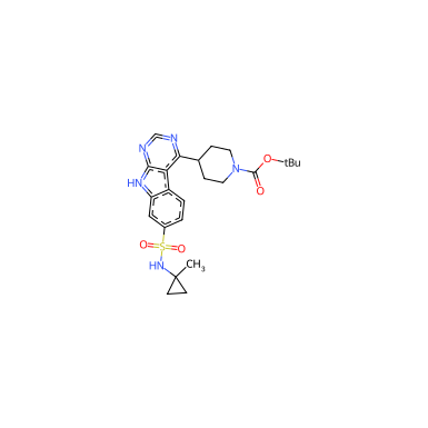 CC1(NS(=O)(=O)c2ccc3c(c2)[nH]c2ncnc(C4CCN(C(=O)OC(C)(C)C)CC4)c23)CC1